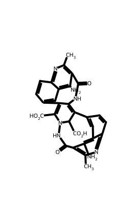 Cc1nc2ccc3cc2c(N)c1C(=O)NC1=C2c4ccc5nc(C)c(c(N)c5c4)C(=O)NN(C(C(=O)O)=C13)C2C(=O)O